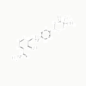 BC1(B)CCC(c2ccc(N/C=C3/C=CC=C(C(N)=O)C3=N)cc2)CN1